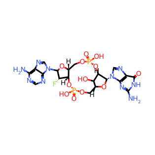 Nc1nc2c(ncn2[C@@H]2O[C@@H]3COP(=O)(O)O[C@@H]4[C@H](F)C(n5cnc6c(N)ncnc65)O[C@@H]4COP(=O)(O)O[C@H]2C3O)c(=O)[nH]1